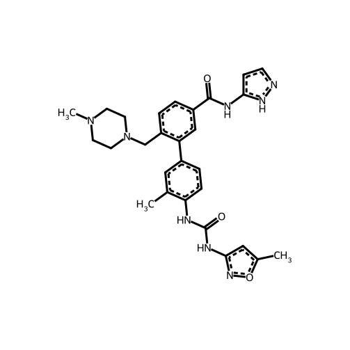 Cc1cc(NC(=O)Nc2ccc(-c3cc(C(=O)Nc4ccn[nH]4)ccc3CN3CCN(C)CC3)cc2C)no1